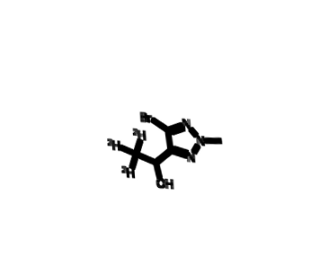 [2H]C([2H])([2H])C(O)c1nn(C)nc1Br